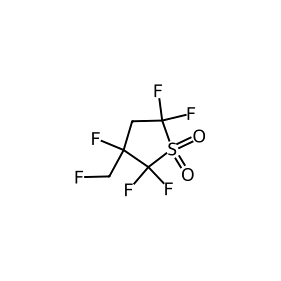 O=S1(=O)C(F)(F)CC(F)(CF)C1(F)F